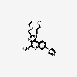 CCOCc1nc2c(N)nc3cc(-n4ccnc4)ccc3c2n1CCCOC